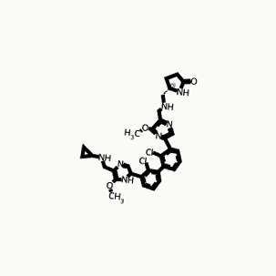 COC1=C(CNC2CC2)N=CC(c2cccc(-c3cccc(-c4cnc(CNC[C@@H]5CCC(=O)N5)c(OC)n4)c3Cl)c2Cl)N1